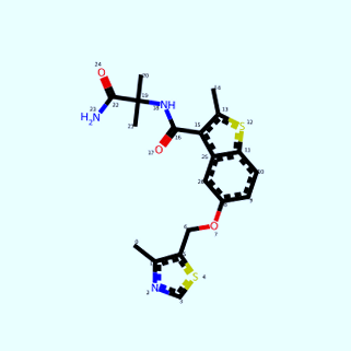 Cc1ncsc1COc1ccc2sc(C)c(C(=O)NC(C)(C)C(N)=O)c2c1